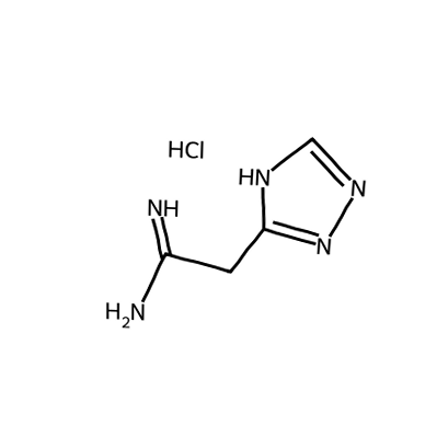 Cl.N=C(N)Cc1nnc[nH]1